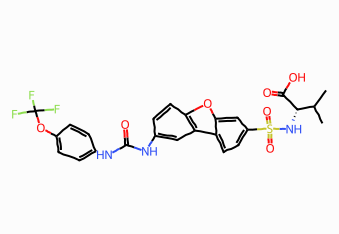 CC(C)[C@H](NS(=O)(=O)c1ccc2c(c1)oc1ccc(NC(=O)Nc3ccc(OC(F)(F)F)cc3)cc12)C(=O)O